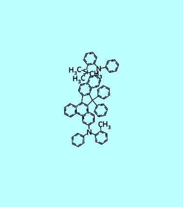 Cc1ccccc1N(c1ccccc1)c1ccc2c3c(c4ccccc4c2c1)-c1ccc2cc(N(c4ccccc4)c4ccccc4[Si](C)(C)C)ccc2c1C3(c1ccccc1)c1ccccc1